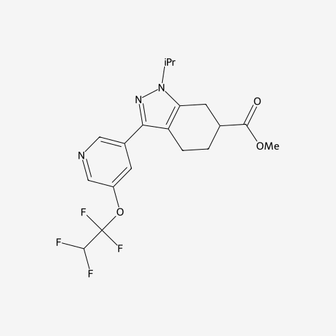 COC(=O)C1CCc2c(-c3cncc(OC(F)(F)C(F)F)c3)nn(C(C)C)c2C1